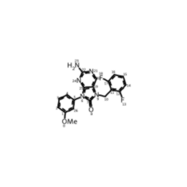 COc1cccc(-n2c(=O)n(Cc3c(F)cccc3F)c3cnc(N)nc32)c1